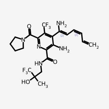 C=C/C=C\C=C(/N)c1c(N)c(C(=O)NCC(C)(O)C(F)(F)F)nc(C(=O)N2CCCC2)c1C(F)(F)F